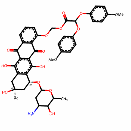 COc1ccc(OC(Oc2ccc(OC)cc2)C(=O)OCOc2cccc3c2C(=O)c2c(O)c4c(c(O)c2C3=O)C[C@@](O)(C(C)=O)C[C@@H]4OC2CC(N)C(O)C(C)O2)cc1